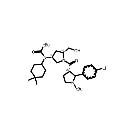 CC1(C)CCC(N(C(=O)C(C)(C)C)[C@H]2C[C@@H](CO)N(C(=O)[C@H]3CCN(C(C)(C)C)C3c3ccc(Cl)cc3)C2)CC1